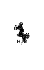 CC(=O)N1c2ccc(-c3cnn(C4CCN(C(=O)OC(C)(C)C)C(n5cc(-c6ccc7c(c6Oc6ccc(C(N)=O)cc6)CC[C@H](C)N7C(C)=O)cn5)C4)c3)c(Oc3ccc(C(N)=O)cc3)c2CC[C@@H]1C